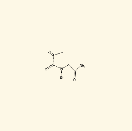 C=C(C)C(=O)N(CC)CC(N)=O